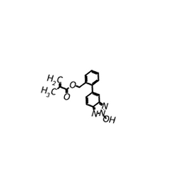 C=C(C)C(=O)OCc1ccccc1-c1ccc2nn(O)nc2c1